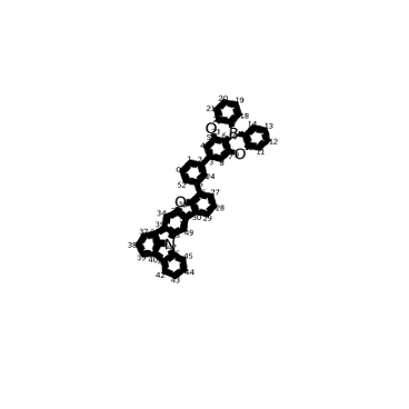 c1cc(-c2cc3c4c(c2)Oc2ccccc2B4c2ccccc2O3)cc(-c2cccc3c2oc2cc4c5cccc6c7ccccc7n(c4cc23)c65)c1